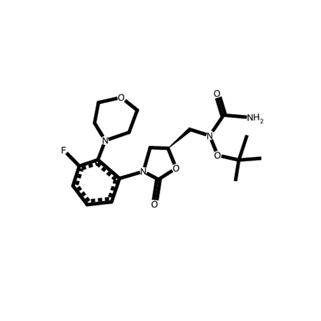 CC(C)(C)ON(C[C@@H]1CN(c2cccc(F)c2N2CCOCC2)C(=O)O1)C(N)=O